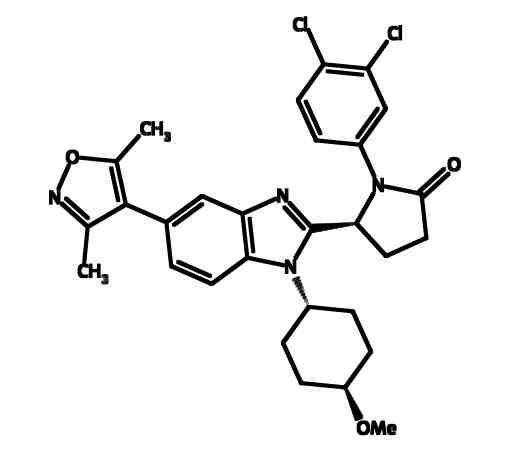 CO[C@H]1CC[C@H](n2c([C@@H]3CCC(=O)N3c3ccc(Cl)c(Cl)c3)nc3cc(-c4c(C)noc4C)ccc32)CC1